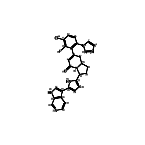 O=C1C=C(c2c(-n3cnnn3)ccc(Cl)c2F)CC2CCC(c3ncc(-c4c[nH]c5cnccc45)[nH]3)N12